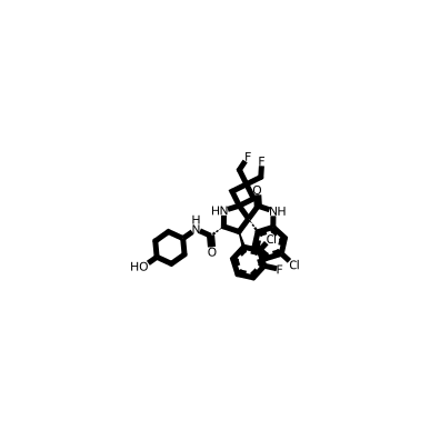 O=C(NC1CCC(O)CC1)[C@@H]1NC2(CC(CF)(CF)C2)[C@@]2(C(=O)Nc3cc(Cl)ccc32)[C@H]1c1cccc(F)c1Cl